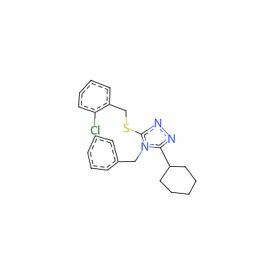 Clc1ccccc1CSc1nnc(C2CCCCC2)n1Cc1ccccc1